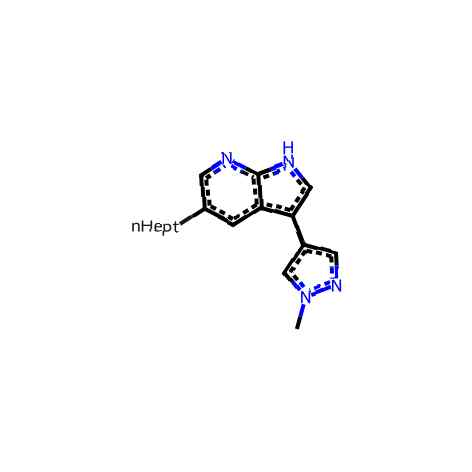 CCCCCCCc1cnc2[nH]cc(-c3cnn(C)c3)c2c1